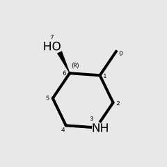 CC1CNCC[C@H]1O